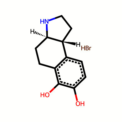 Br.Oc1ccc2c(c1O)CC[C@H]1NCC[C@H]21